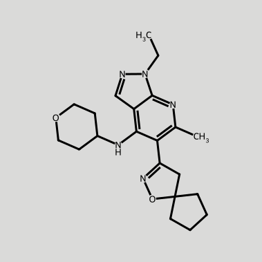 CCn1ncc2c(NC3CCOCC3)c(C3=NOC4(CCCC4)C3)c(C)nc21